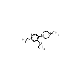 COc1cc(C)ncc1N1CCN(C)CC1